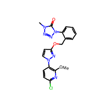 COc1nc(Cl)ccc1-n1ccc(OCc2ccccc2-n2nnn(C)c2=O)n1